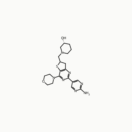 Nc1ncc(-c2nc3c(c(N4CCOCC4)n2)SC(CN2CCC[C@@H](O)C2)C3)cn1